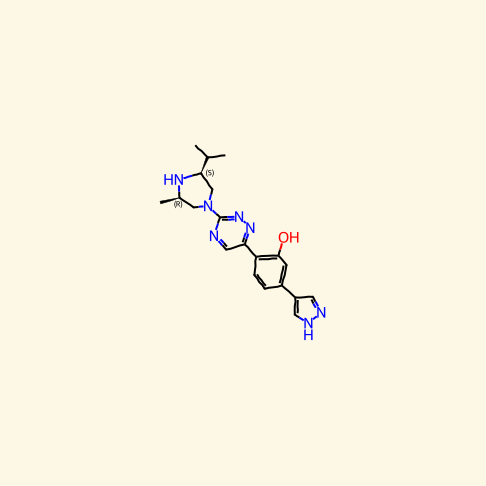 CC(C)[C@H]1CN(c2ncc(-c3ccc(-c4cn[nH]c4)cc3O)nn2)C[C@@H](C)N1